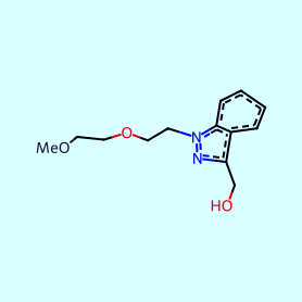 COCCOCCn1nc(CO)c2ccccc21